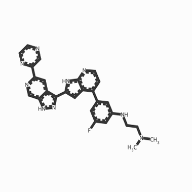 CN(C)CCNc1cc(F)cc(-c2ccnc3[nH]c(-c4n[nH]c5cnc(-c6cnccn6)cc45)cc23)c1